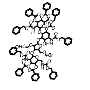 O=CCOC1C(OC2C(O)C(NC(=O)OCc3ccccc3)CC(NC(=O)OCc3ccccc3)[C@@H]2OC2OC3COC(c4ccccc4)OC3C(OC(=O)c3ccccc3)C2NC(=O)OCc2ccccc2)OC(COSBr)C1OC1OC(CNC(=O)OCc2ccccc2)C(OC(=O)c2ccccc2)C(OC(=O)c2ccccc2)C1NC(=O)OCc1ccccc1